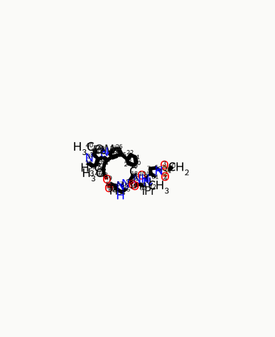 C=CS(=O)(=O)N1CC[C@H](C(=O)N(C)[C@H](C(=O)N[C@H]2Cc3cccc(c3)-c3ccc4c(c3)c(c(-c3cccnc3[C@H](C)OC)n4CC)CC(C)(C)COC(=O)[C@@H]3CCCN(N3)C2=O)C(C)C)C1